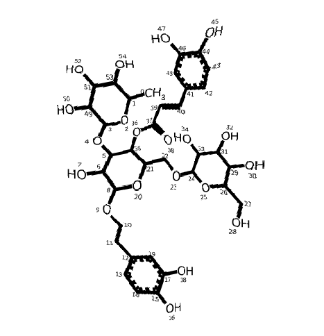 CC1OC(OC2C(O)C(OCCc3ccc(O)c(O)c3)OC(COC3OC(CO)C(O)C(O)C3O)C2OC(=O)C=Cc2ccc(O)c(O)c2)C(O)C(O)C1O